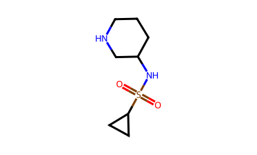 O=S(=O)(NC1CCCNC1)C1CC1